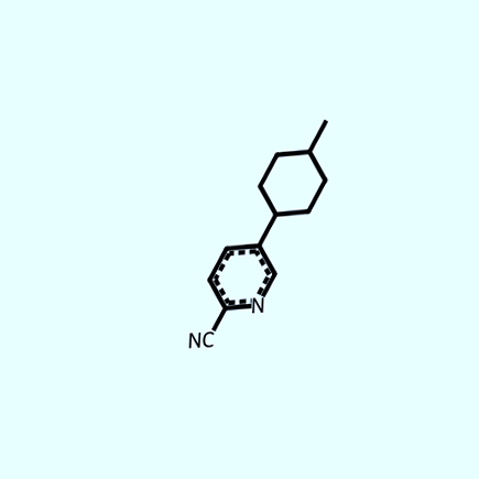 CC1CCC(c2ccc(C#N)nc2)CC1